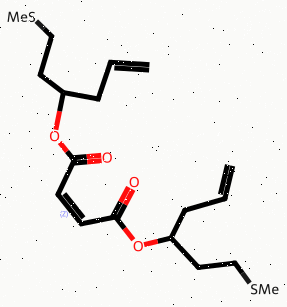 C=CCC(CCSC)OC(=O)/C=C\C(=O)OC(CC=C)CCSC